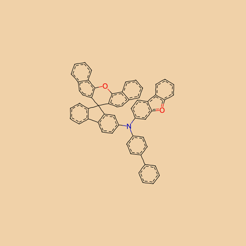 c1ccc(-c2ccc(N(c3ccc4c(c3)C3(c5ccccc5-4)c4ccc5ccccc5c4Oc4c3ccc3ccccc43)c3ccc4c(c3)oc3ccccc34)cc2)cc1